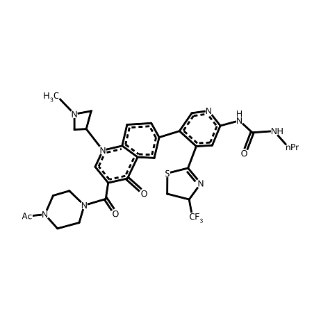 CCCNC(=O)Nc1cc(C2=NC(C(F)(F)F)CS2)c(-c2ccc3c(c2)c(=O)c(C(=O)N2CCN(C(C)=O)CC2)cn3C2CN(C)C2)cn1